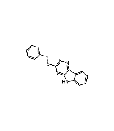 c1ccc(CSc2nnc3c(n2)[nH]c2ccccc23)cc1